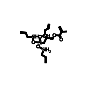 C=CC[SiH2]O[Si](CCCOC(=O)C(=C)C)(O[SiH2]CC=C)O[SiH2]CC=C